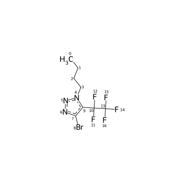 CCCCn1nnc(Br)c1C(F)(F)C(F)(F)F